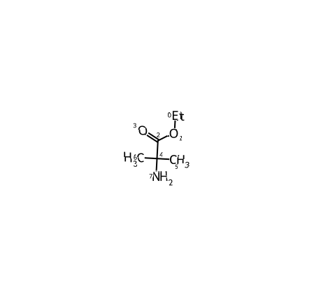 [CH2]COC(=O)C(C)(C)N